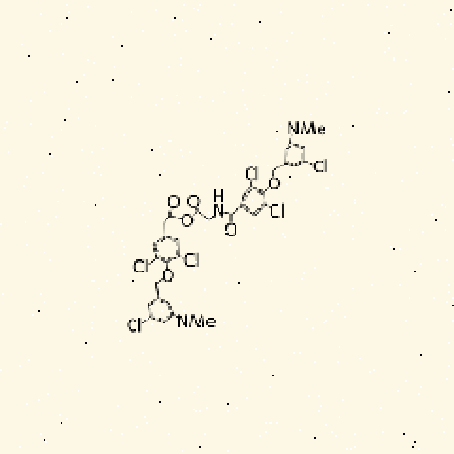 CNc1cc(Cl)cc(COc2c(Cl)cc(CC(=O)OC(=O)CNC(=O)c3cc(Cl)c(OCc4cc(Cl)cc(NC)c4)c(Cl)c3)cc2Cl)c1